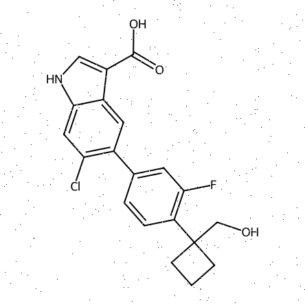 O=C(O)c1c[nH]c2cc(Cl)c(-c3ccc(C4(CO)CCC4)c(F)c3)cc12